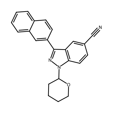 N#Cc1ccc2c(c1)c(-c1ccc3ccccc3c1)nn2C1CCCCO1